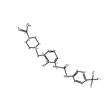 O=C(Nc1ccc(C(F)(F)F)nc1)Nc1cccc(CN2CCN(C(=O)O)CC2)c1F